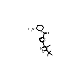 Cc1c(-c2ccc(C(=O)N3CCC[C@@H](N)C3)s2)noc1C(F)(F)F